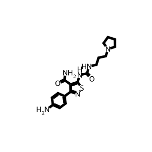 NC(=O)c1c(-c2ccc(N)cc2)nsc1NC(=O)NCCCN1CCCC1